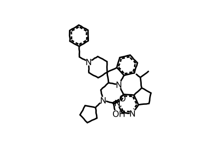 CC(C)C1CCc2ncnc(N3c4ccccc4C4(CCN(Cc5ccccc5)CC4)C3CN(C(=O)O)C3CCCC3)c21